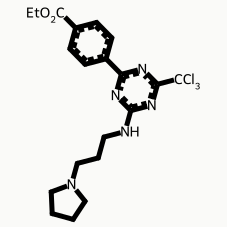 CCOC(=O)c1ccc(-c2nc(NCCCN3CCCC3)nc(C(Cl)(Cl)Cl)n2)cc1